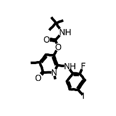 Cc1cc(OC(=O)NC(C)(C)C)c(Nc2ccc(I)cc2F)n(C)c1=O